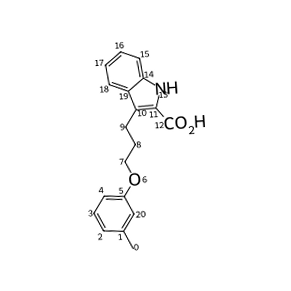 Cc1cccc(OCCCc2c(C(=O)O)[nH]c3ccccc23)c1